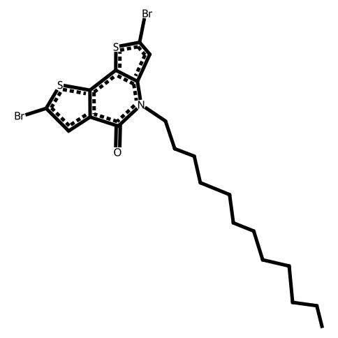 CCCCCCCCCCCCn1c(=O)c2cc(Br)sc2c2sc(Br)cc21